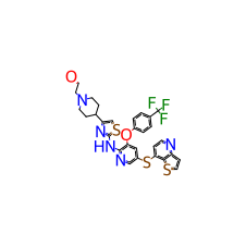 O=CCN1CCC(c2csc(Nc3ncc(Sc4ccnc5ccsc45)cc3Oc3ccc(C(F)(F)F)cc3)n2)CC1